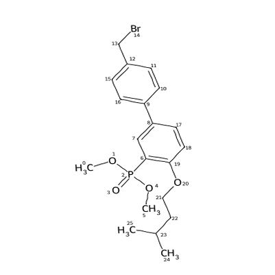 COP(=O)(OC)c1cc(-c2ccc(CBr)cc2)ccc1OCCC(C)C